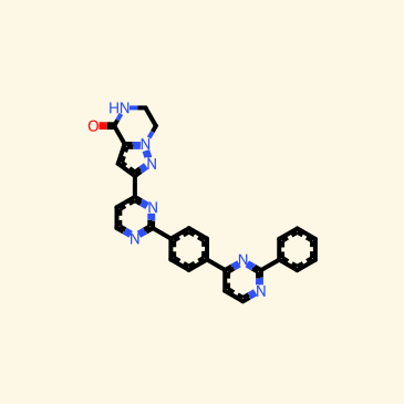 O=C1NCCn2nc(-c3ccnc(-c4ccc(-c5ccnc(-c6ccccc6)n5)cc4)n3)cc21